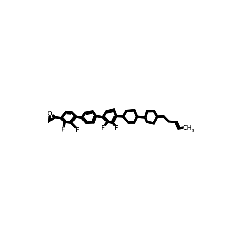 C/C=C/CCC1CCC(C2CCC(c3ccc(-c4ccc(-c5ccc(C6CO6)c(F)c5F)cc4)c(F)c3F)CC2)CC1